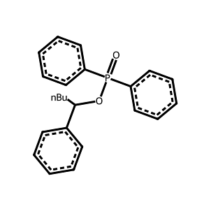 CCCCC(OP(=O)(c1ccccc1)c1ccccc1)c1ccccc1